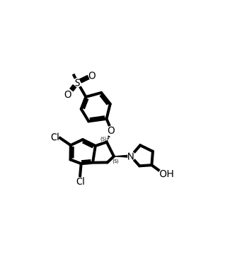 CS(=O)(=O)c1ccc(O[C@H]2c3cc(Cl)cc(Cl)c3C[C@@H]2N2CCC(O)C2)cc1